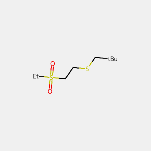 CCS(=O)(=O)CCSCC(C)(C)C